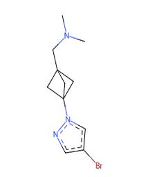 CN(C)CC12CC(n3cc(Br)cn3)(C1)C2